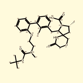 C[C@@H]1CC2(COCC(=O)N2)C(Cc2cccc(-c3ccccc3OCCN(C)C(=O)OC(C)(C)C)c2F)N1C(=O)O